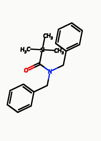 C[Si](C)(C)C(=O)N(Cc1ccccc1)Cc1ccccc1